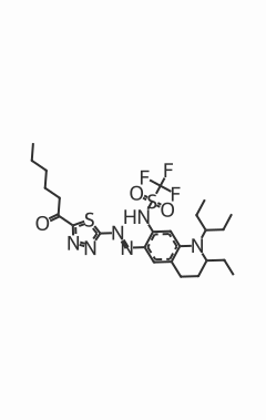 CCCCCC(=O)c1nnc(N=Nc2cc3c(cc2NS(=O)(=O)C(F)(F)F)N(C(CC)CC)C(CC)CC3)s1